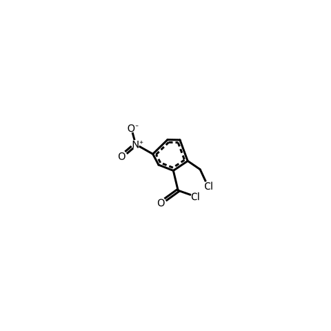 O=C(Cl)c1cc([N+](=O)[O-])ccc1CCl